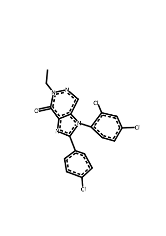 CCn1ncc2c(nc(-c3ccc(Cl)cc3)n2-c2ccc(Cl)cc2Cl)c1=O